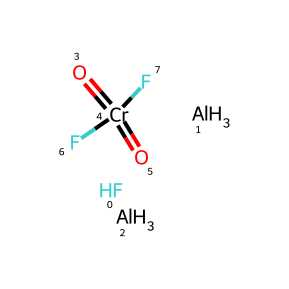 F.[AlH3].[AlH3].[O]=[Cr](=[O])([F])[F]